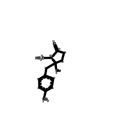 CC(C)(C)C1(Cc2ccc([N+](=O)[O-])cc2)CCC(=O)N1C(=O)O